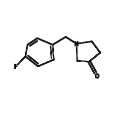 O=C1CCN(Cc2ccc(F)cc2)C1